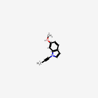 CC#Cn1ccc2ccc(OC)cc21